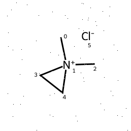 C[N+]1(C)CC1.[Cl-]